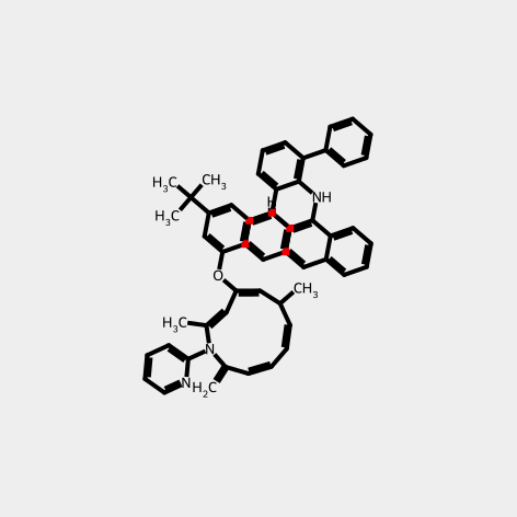 C=C1/C=C\C=C/C(C)/C=C(Oc2cc(Nc3ccc4ccccc4c3Nc3c(-c4ccccc4)cccc3-c3ccccc3)cc(C(C)(C)C)c2)\C=C(/C)N1c1ccccn1